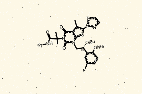 COc1ccc(F)cc1[C@H](Cn1c(=O)n(C(C)(C)C(=O)NC(C)C)c(=O)c2c(C)c(-n3nccn3)sc21)OCC(C)C